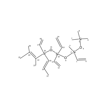 C=C[Si](C)(O[Si](C)(C)C)O[Si](C=C)(C=C)O[Si](C=C)(C=CC)C(C)=C(C)C